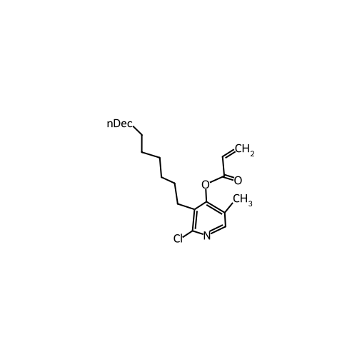 C=CC(=O)Oc1c(C)cnc(Cl)c1CCCCCCCCCCCCCCCC